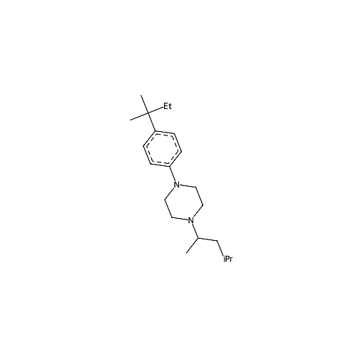 CCC(C)(C)c1ccc(N2CCN(C(C)CC(C)C)CC2)cc1